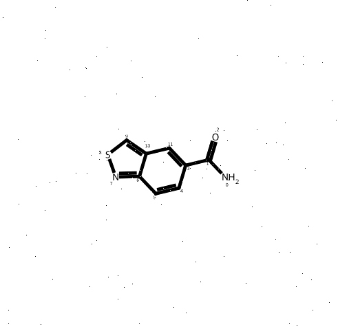 NC(=O)c1ccc2nscc2c1